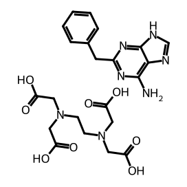 Nc1nc(Cc2ccccc2)nc2[nH]cnc12.O=C(O)CN(CCN(CC(=O)O)CC(=O)O)CC(=O)O